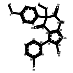 CCC1(c2ccc(OC)cc2)C(=O)Nc2sc(Cl)c(-c3cccc(F)c3)c2C1=O